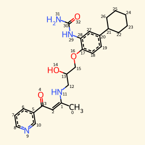 CC(=CC(=O)c1cccnc1)NCC(O)COc1ccc(C2CCCCC2)cc1NC(N)=O